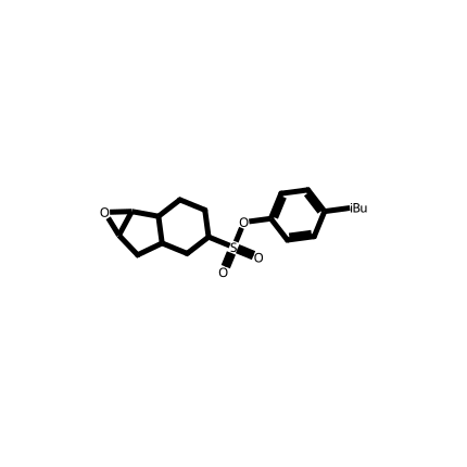 CCC(C)c1ccc(OS(=O)(=O)C2CCC3C(CC4OC43)C2)cc1